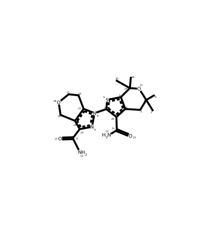 CC1(C)Cc2c(sc(-n3nc(C(N)=O)c4c3CCOC4)c2C(N)=O)C(C)(C)O1